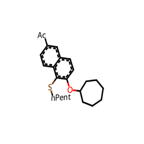 CCCCCSc1c(OC2CCCCCC2)ccc2cc(C(C)=O)ccc12